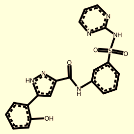 O=C(Nc1cccc(S(=O)(=O)Nc2ncccn2)c1)c1cc(-c2ccccc2O)[nH]n1